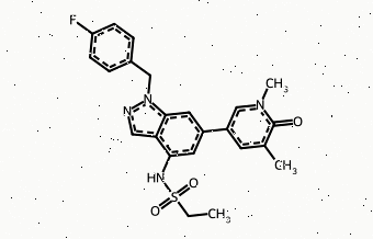 CCS(=O)(=O)Nc1cc(-c2cc(C)c(=O)n(C)c2)cc2c1cnn2Cc1ccc(F)cc1